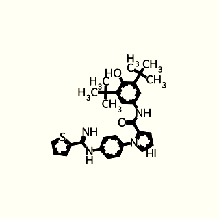 CC(C)(C)c1cc(NC(=O)c2cccn2-c2ccc(NC(=N)c3cccs3)cc2)cc(C(C)(C)C)c1O.I